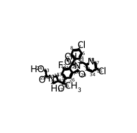 CO[C@]1(c2ccc(Cl)cc2)c2c(F)cc(C(C)(O)C3CN(C(=O)CO)C3)cc2C(=O)N1Cc1ccc(Cl)cn1